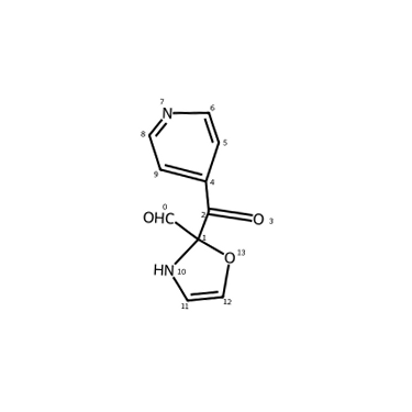 O=CC1(C(=O)c2ccncc2)NC=CO1